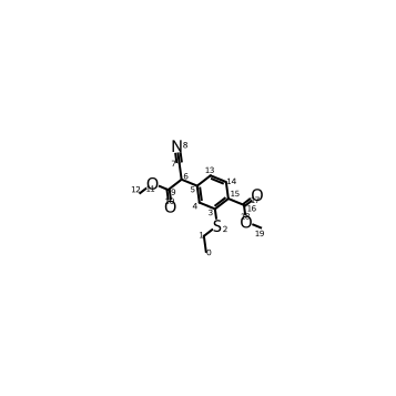 CCSc1cc(C(C#N)C(=O)OC)ccc1C(=O)OC